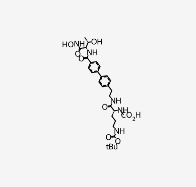 C[C@@H](O)[C@H](NC(=O)c1ccc(-c2ccc(CCNC(=O)[C@H](CCCNC(=O)OC(C)(C)C)NC(=O)O)cc2)cc1)C(=O)NO